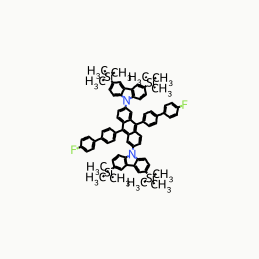 C[Si](C)(C)c1ccc2c(c1)c1cc([Si](C)(C)C)ccc1n2-c1ccc2c(-c3ccc(-c4ccc(F)cc4)cc3)c3cc(-n4c5ccc([Si](C)(C)C)cc5c5cc([Si](C)(C)C)ccc54)ccc3c(-c3ccc(-c4ccc(F)cc4)cc3)c2c1